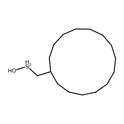 O[SiH2]CC1CCCCCCCCCCCCCC1